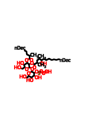 CCCCCCCCCCCCCCCCCC(O)C(C)CC(C)C(=O)OC1C(OC2OC(CO)C(O)C(O)C2OSOOO)OC(CO)C(O)C1OC(=O)C(C)CCCCCCCCCCCCC